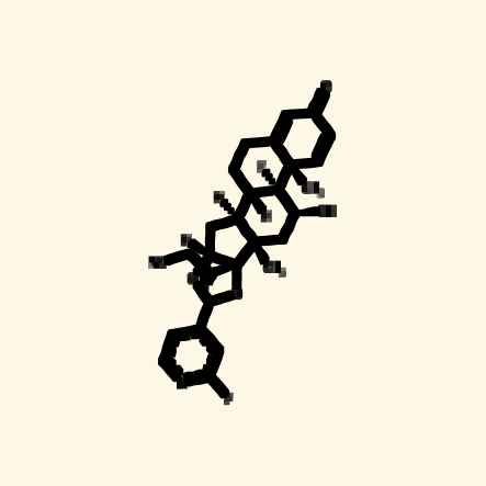 C[C@]12C=CC(=O)C=C1CC[C@H]1[C@@H]3C[C@H]4OC(c5ccnc(F)c5)O[C@@]4(C(=O)CC#N)[C@@]3(C)C[C@H](O)[C@@]12F